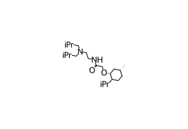 CC(C)CN(CCNC(=O)CO[C@@H]1C[C@H](C)CC[C@H]1C(C)C)CC(C)C